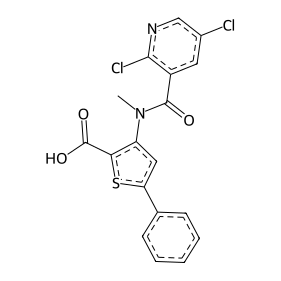 CN(C(=O)c1cc(Cl)cnc1Cl)c1cc(-c2ccccc2)sc1C(=O)O